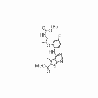 COC(=O)c1sc2ncnc(Nc3ccc(F)cc3OC(C)CNC(=O)OC(C)(C)C)c2c1C